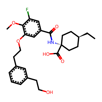 CC[C@H]1CC[C@@](NC(=O)c2cc(F)c(OC)c(OCCc3cccc(CCO)c3)c2)(C(=O)O)CC1